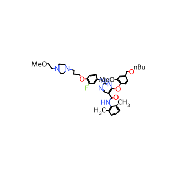 CCCCOCc1ccc(Oc2nc(Nc3ccc(OCCCN4CCN(CCOC)CC4)c(F)c3)ncc2C(=O)Nc2c(C)cccc2C)c(OC)c1